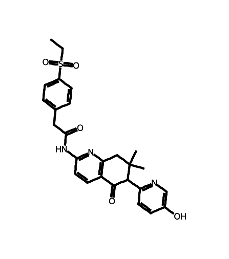 CCS(=O)(=O)c1ccc(CC(=O)Nc2ccc3c(n2)CC(C)(C)C(c2ccc(O)cn2)C3=O)cc1